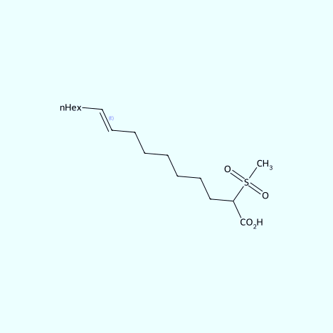 CCCCCC/C=C/CCCCCCC(C(=O)O)S(C)(=O)=O